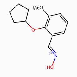 COc1cccc(/C=N/O)c1OC1CCCC1